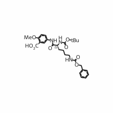 COc1ccc(NC(=O)[C@H](CCCCNC(=O)OCc2ccccc2)NC(=O)OC(C)(C)C)cc1C(=O)O